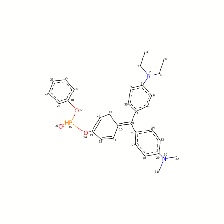 CCN(CC)c1ccc(/C(=C2/C=CC(O[PH](=O)Oc3ccccc3)=CC2)c2ccc(N(C)C)cc2)cc1